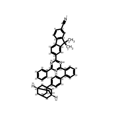 CC1(C)c2cc(C#N)ccc2-c2ccc(-c3nc(-c4ccccc4)nc(-c4ccccc4-c4ccc(C56CC7C[C@H](C5)C[C@@H](C7)C6)cc4)n3)cc21